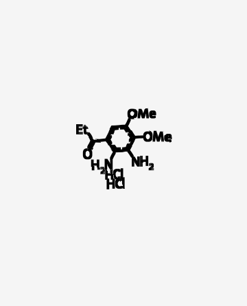 CCC(=O)c1cc(OC)c(OC)c(N)c1N.Cl.Cl